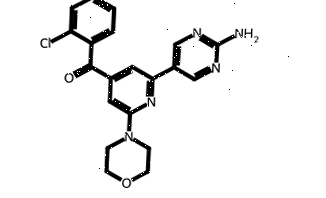 Nc1ncc(-c2cc(C(=O)c3ccccc3Cl)cc(N3CCOCC3)n2)cn1